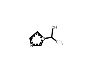 OC(n1ccnc1)C(Cl)(Cl)Cl